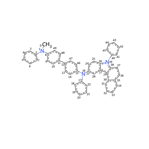 CN(c1ccccc1)c1ccc(-c2ccc(N(c3ccccc3)c3ccc4c(c3)c3c5ccccc5ccc3n4-c3ccccc3)cc2)cc1